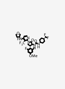 COc1cc(F)c([C@@H]2CN(c3nccc(NC4CCOC4)c3C(F)(F)F)C(=O)C2NC(=O)N[C@H]2CC[C@H](C(F)F)CC2)c(F)c1